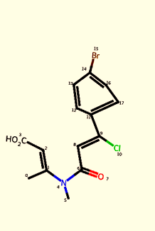 CC(=CC(=O)O)N(C)C(=O)C=C(Cl)c1ccc(Br)cc1